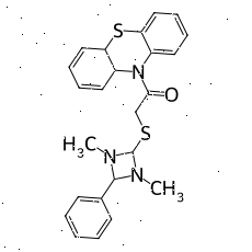 CN1C(SCC(=O)N2c3ccccc3SC3C=CC=CC32)N(C)C1c1ccccc1